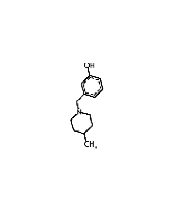 CC1CCN(Cc2cccc(O)c2)CC1